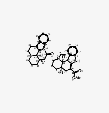 CC[C@]12CCCN3CC[C@]4(C(=C(C(=O)OC)C1)Nc1ccccc14)[C@@H]32.CC[C@]12CCCN3CCc4c(n(c5ccccc45)C(=O)C1)[C@@H]32